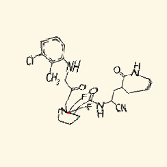 Cc1c(Cl)cccc1NCC(=O)N1C2CCC(C1C(=O)NC(C#N)CC1CCCNC1=O)C(F)(F)C2